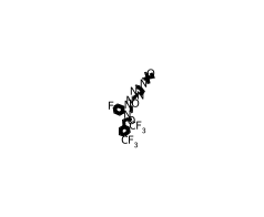 O=C(Cc1ccc(C(F)(F)F)cc1C(F)(F)F)N(Cc1nnc(-c2ncc(N3CC4(COC4)C3)cn2)o1)c1ccc(F)cc1